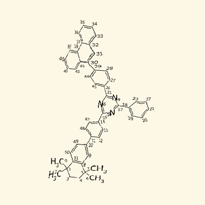 CC1(C)CCC(C)(C)c2cc(-c3ccc(-c4nc(-c5ccccc5)nc(-c5ccc(-c6cc7ccccc7c7ccccc67)cc5)n4)cc3)ccc21